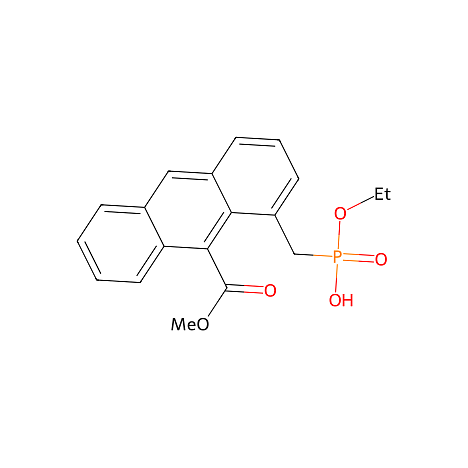 CCOP(=O)(O)Cc1cccc2cc3ccccc3c(C(=O)OC)c12